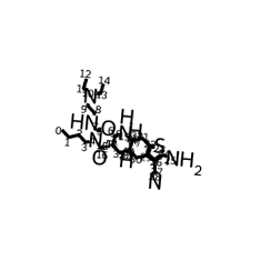 CCCCN(C(=O)NCCN(CC)CC)C(=O)[C@H]1CN[C@@H]2Cc3sc(N)c(C#N)c3C[C@H]2C1